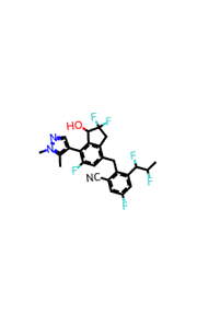 Cc1c(-c2c(F)cc(Cc3c(C#N)cc(F)cc3C(F)C(C)F)c3c2C(O)C(F)(F)C3)cnn1C